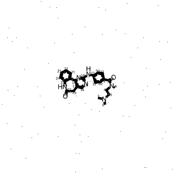 CN(C)CCN(C)C(=O)c1ccc(Nc2ncc3c(n2)-c2ccccc2NC(=O)C3)cc1